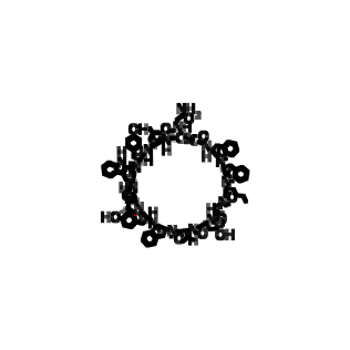 CCCC[C@H]1C(=O)N(C)CC(=O)N[C@@H](CC(=O)O)C(=O)N[C@@H](C(C)C)C(=O)N(C)[C@@H](Cc2ccccc2)C(=O)N[C@@H](Cc2ccc(O)cc2)C(=O)N2C[C@H](C)C[C@@H]2C(=O)N[C@@H](Cc2c[nH]c3ccccc23)C(=O)N[C@@H](Cc2ccc(O)cc2)C(=O)N[C@@H](CC(C)C)C(=O)N[C@H](C(=O)NCC(N)=O)CSCC(=O)N[C@@H](Cc2ccccc2)C(=O)N(C)[C@@H](Cc2ccccc2)C(=O)N1C